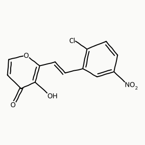 O=c1ccoc(C=Cc2cc([N+](=O)[O-])ccc2Cl)c1O